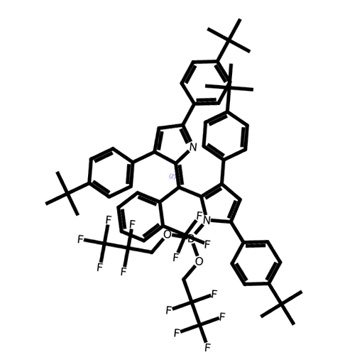 CC(C)(C)c1ccc(C2=CC(c3ccc(C(C)(C)C)cc3)=N/C2=C(/c2ccccc2C(F)(F)F)c2c(-c3ccc(C(C)(C)C)cc3)cc(-c3ccc(C(C)(C)C)cc3)n2B(OCC(F)(F)C(F)(F)F)OCC(F)(F)C(F)(F)F)cc1